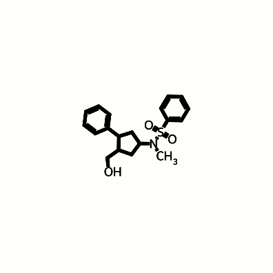 CN(C1CC(CO)C(c2ccccc2)C1)S(=O)(=O)c1ccccc1